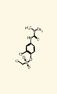 CN(C)C(=O)Nc1ccc(OS(=O)(=O)CCl)c(Cl)c1